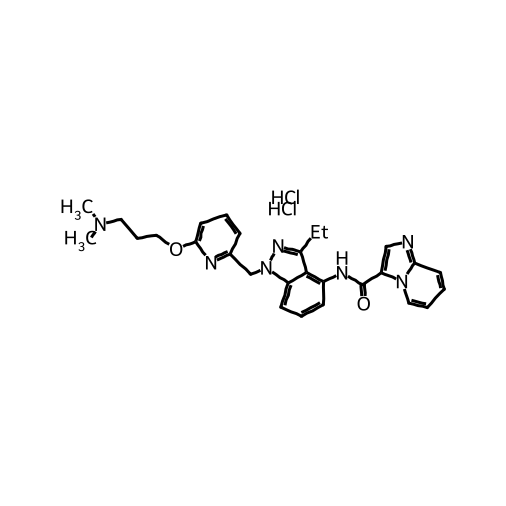 CCc1nn(Cc2cccc(OCCCN(C)C)n2)c2cccc(NC(=O)c3cnc4ccccn34)c12.Cl.Cl